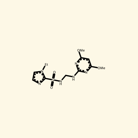 CCn1ccnc1S(=O)(=O)NCNc1nc(OC)cc(OC)n1